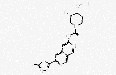 CN[C@@H]1CCN(C(=O)Nc2cc3cc(-c4nnc(C)s4)ncc3cn2)C[C@H]1F